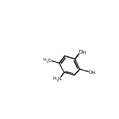 Cc1cc(O)c(O)cc1N